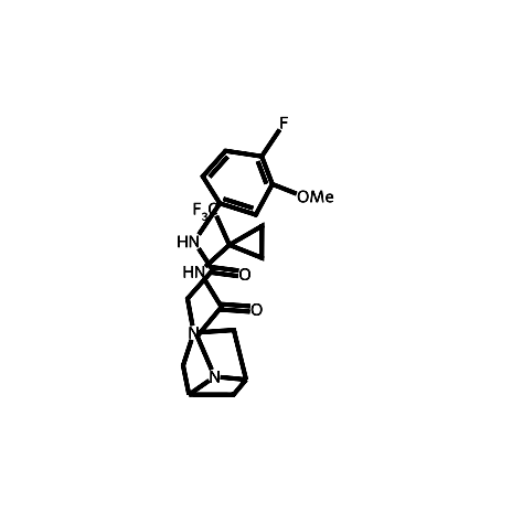 COc1cc(NC(=O)CN2CC3CC(C2)N3CC(=O)NC2(C(F)(F)F)CC2)ccc1F